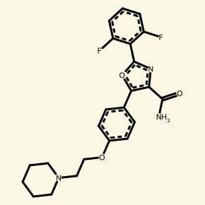 NC(=O)c1nc(-c2c(F)cccc2F)oc1-c1ccc(OCCN2CCCCC2)cc1